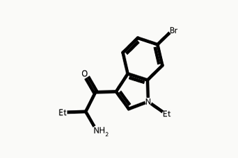 CCC(N)C(=O)c1cn(CC)c2cc(Br)ccc12